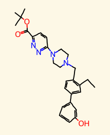 CCc1cc(-c2cccc(O)c2)ccc1CN1CCN(c2ccc(C(=O)OC(C)(C)C)nn2)CC1